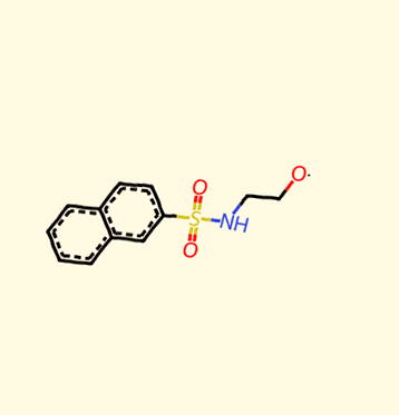 [O]CCNS(=O)(=O)c1ccc2ccccc2c1